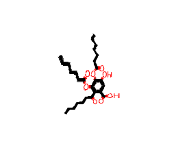 CCCCCCC(=O)Oc1c(O)cc(C(=O)O)c(C(=O)CCCCCC)c1OC(=O)CCCCCC